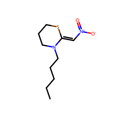 CCCCCN1CCCS/C1=C\[N+](=O)[O-]